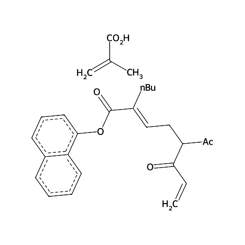 C=C(C)C(=O)O.C=CC(=O)C(CC=C(CCCC)C(=O)Oc1cccc2ccccc12)C(C)=O